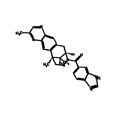 Cc1cnc2cc3c(cc2n1)[C@]1(C)CCN(C(=O)c2ccc4nc[nH]c4c2)[C@H](C3)C1(C)C